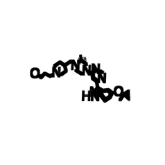 C[C@H]1CN(c2cc(-c3n[nH]c4ccc(OC5(C)CC5)cc34)ncn2)CCN1CC1CCN(CCC=O)CC1